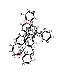 CC1(C)c2ccccc2-c2cc3c(cc21)Sc1ccccc1C31c2ccccc2C=Cc2ccc(-c3nc(-c4ccccc4)nc(-c4ccccc4)n3)cc21